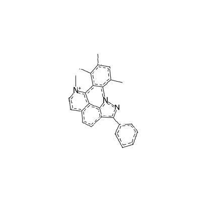 Cc1cc(C)c2c(c1C)c1c3c(ccc4c(-c5ccccc5)nn2c43)cc[n+]1C